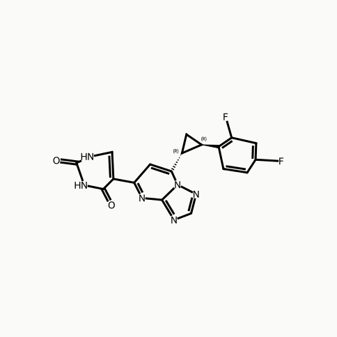 O=c1[nH]cc(-c2cc([C@@H]3C[C@H]3c3ccc(F)cc3F)n3ncnc3n2)c(=O)[nH]1